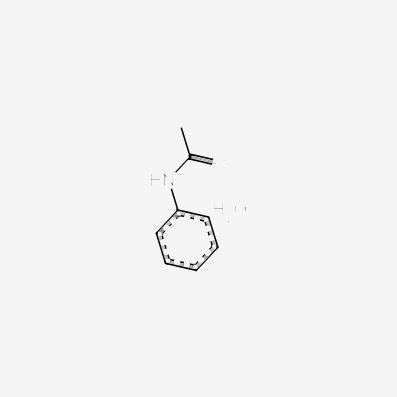 CC(=O)Nc1ccccc1.O